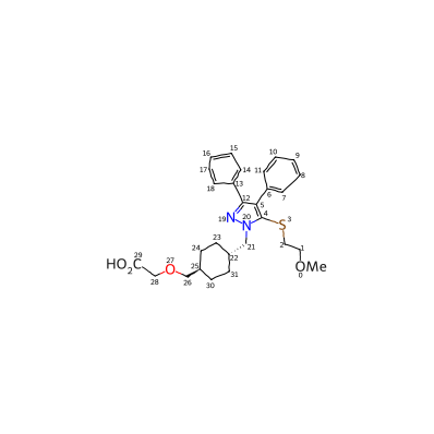 COCCSc1c(-c2ccccc2)c(-c2ccccc2)nn1C[C@H]1CC[C@H](COCC(=O)O)CC1